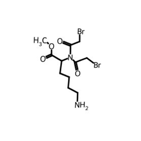 COC(=O)C(CCCCN)N(C(=O)CBr)C(=O)CBr